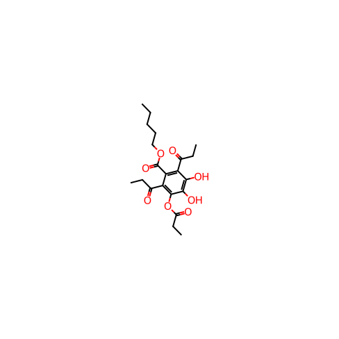 CCCCCOC(=O)c1c(C(=O)CC)c(O)c(O)c(OC(=O)CC)c1C(=O)CC